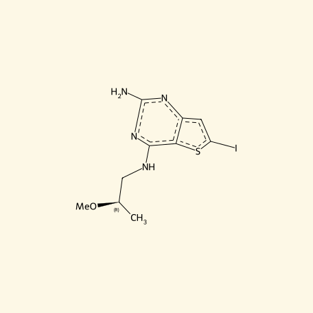 CO[C@H](C)CNc1nc(N)nc2cc(I)sc12